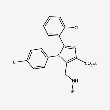 CCOC(=O)c1nc(-c2ccccc2Cl)n(-c2ccc(Cl)cc2)c1CNC(C)C